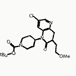 COCCC1Cc2ncc(Cl)cc2N(C2CCN(C(=O)OC(C)(C)C)CC2)C1=O